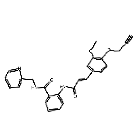 C#CCOc1ccc(/C=C/C(=O)Nc2ccccc2C(=O)NCc2ccccn2)cc1OC